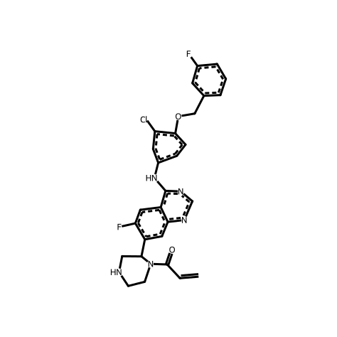 C=CC(=O)N1CCNCC1c1cc2ncnc(Nc3ccc(OCc4cccc(F)c4)c(Cl)c3)c2cc1F